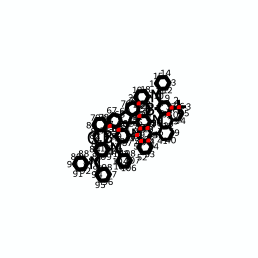 CC(C)(C)c1cc2c3c(c1)N(c1ccccc1)c1ccccc1B3c1cc3c(cc1N2C1=C(C2C=CC=CC2)C=CCC1C1=CCCC=C1)N(c1ccccc1)c1cc2c(cc1C31c3ccccc3-c3ccccc31)B1c3ccccc3Oc3cc(N(c4ccccc4)c4ccccc4)cc(c31)N2c1ccccc1